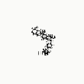 Cc1cccc(C)c1CS(=O)(=O)c1ccc2c(c1)NC(=O)/C(=C/c1ccc(-c3nn[nH]n3)cc1)S2